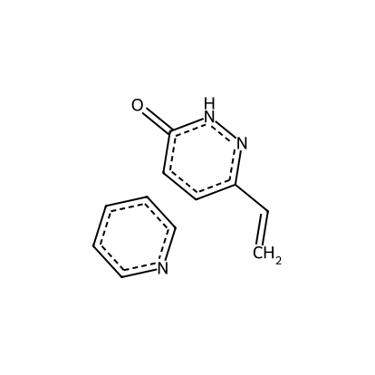 C=Cc1ccc(=O)[nH]n1.c1ccncc1